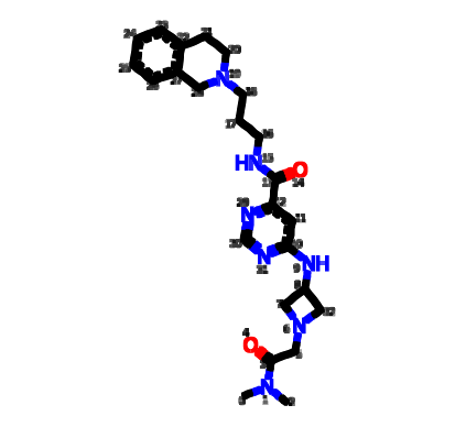 CN(C)C(=O)CN1CC(Nc2cc(C(=O)NCCCN3CCc4ccccc4C3)ncn2)C1